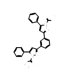 COC(=O)n1nc(-c2cccc(-c3cc(-c4ccccc4)n(C(=O)OC)n3)c2)cc1-c1ccccc1